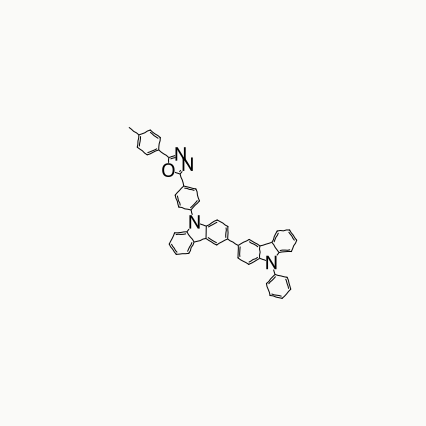 Cc1ccc(-c2nnc(-c3ccc(-n4c5ccccc5c5cc(-c6ccc7c(c6)c6ccccc6n7-c6ccccc6)ccc54)cc3)o2)cc1